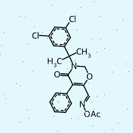 CC(=O)ON=CC1=C(c2ccccc2)C(=O)N(C(C)(C)c2cc(Cl)cc(Cl)c2)CO1